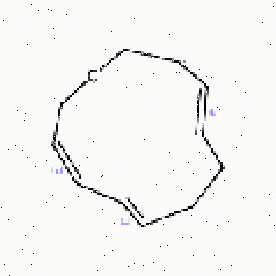 [CH]1/C=C/CC/C=C/C=C\CCC1